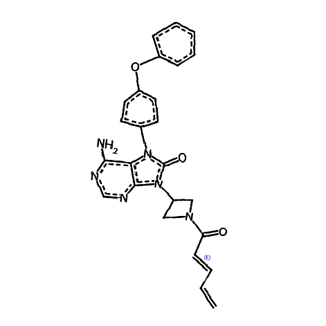 C=C/C=C/C(=O)N1CC(n2c(=O)n(-c3ccc(Oc4ccccc4)cc3)c3c(N)ncnc32)C1